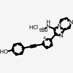 CC(C)(C)Nc1c(-c2ccc(C#Cc3ccc(O)cc3)s2)nc2cnccn12.Cl